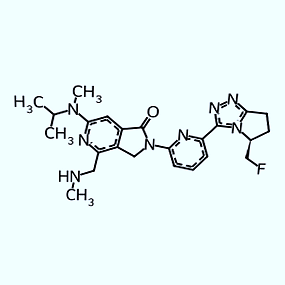 CNCc1nc(N(C)C(C)C)cc2c1CN(c1cccc(-c3nnc4n3[C@H](CF)CC4)n1)C2=O